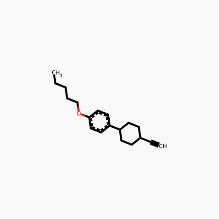 C#CC1CCC(c2ccc(OCCCCC)cc2)CC1